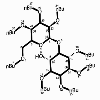 CCCCOCC1O[C@H](OC2[C@@H](O)C(OCCCC)C(OCCCC)[C@H](OCCCC)[C@H]2OCCCC)[C@H](OCCCC)C(OCCCC)[C@@H]1OCCCC